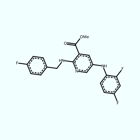 COC(=O)c1cc(Nc2ccc(F)cc2F)cnc1NCc1ccc(F)cc1